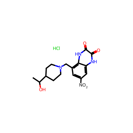 CC(O)C1CCN(Cc2cc([N+](=O)[O-])cc3[nH]c(=O)c(=O)[nH]c23)CC1.Cl